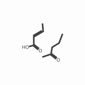 CC=CC(=O)O.CCCC(C)=O